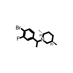 CC(c1ccc(Br)c(F)c1)N1C[C@H](C)CC[C@H]1C